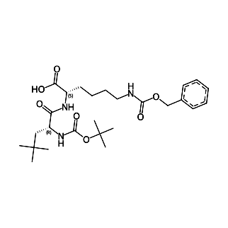 CC(C)(C)C[C@@H](NC(=O)OC(C)(C)C)C(=O)N[C@@H](CCCCNC(=O)OCc1ccccc1)C(=O)O